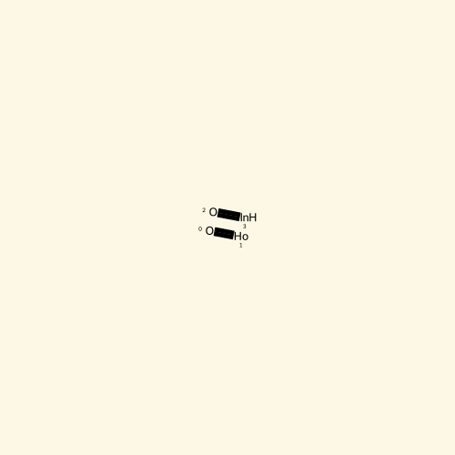 [O]=[Ho].[O]=[InH]